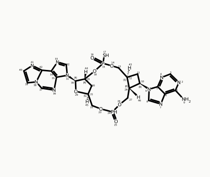 Nc1ncnc2c1ncn2[C@@H]1C[C@@H]2COP(=O)(S)O[C@@H]3C[C@@H](CO[PH](=O)OC[C@H]21)O[C@H]3n1cnc2c1ncn1ccnc21